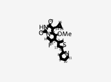 COc1c(-c2csc(-c3ccccn3)c2)c(F)cn2c(=O)[nH]c(=O)c(C3CC3)c12